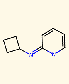 C1=C[N]C(=NC2CCC2)C=C1